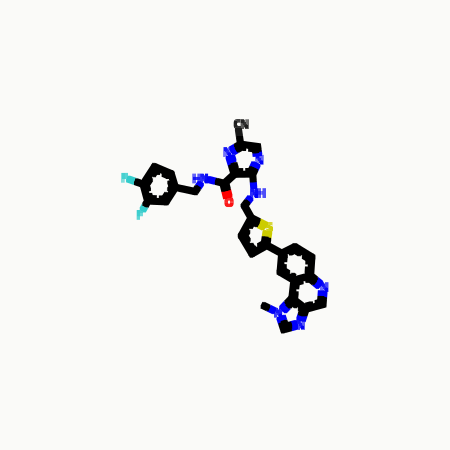 Cn1cnc2cnc3ccc(-c4ccc(CNc5ncc(C#N)nc5C(=O)NCc5ccc(F)c(F)c5)s4)cc3c21